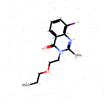 COCCOCCn1c(SC)nc2c(I)cccc2c1=O